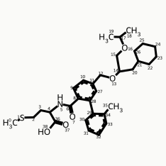 CSCCC(NC(=O)c1ccc(COC(COC(C)C)CC2CCCCC2)cc1-c1ccccc1C)C(=O)O